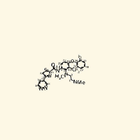 CNCCN(C)c1c(NC(=O)c2nc(-c3ccnnc3)cs2)ccc(Oc2ccccc2F)c1C(F)(F)F